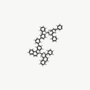 c1ccc(-c2cc3nc(-n4c5ccccc5c5cc(-c6cccc(-c7ccc8c(c7)c7c9ccccc9ccc7n8-c7nc(-c8ccccc8)c8ccc9ccccc9c8n7)c6)ccc54)nc(-c4ccccc4)c3s2)cc1